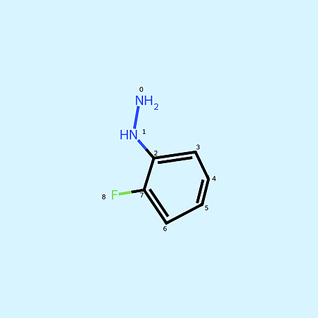 NNc1c[c]ccc1F